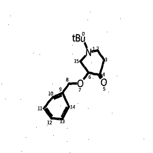 CC(C)(C)N1CCC(=O)C(OCc2ccccc2)C1